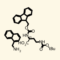 CC(C)(C)OC(=O)NCC[C@H](NC(=O)OCC1c2ccccc2-c2ccccc21)C(=O)O.NCc1cccc2ccccc12